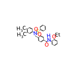 CCOc1ccccc1NC(=O)c1ccc(CN(c2ccc(C)c(C)c2)S(=O)(=O)c2ccccc2)cc1